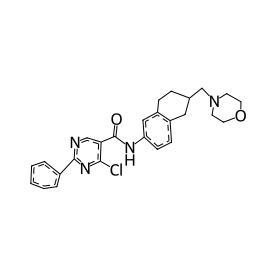 O=C(Nc1ccc2c(c1)CCC(CN1CCOCC1)C2)c1cnc(-c2ccccc2)nc1Cl